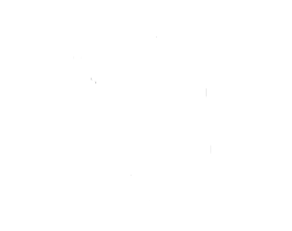 CON=C(c1cc(C(=O)OC)cc(C(F)(F)F)c1)C1CC1